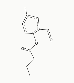 CCCC(=O)Oc1ccc(F)cc1C=O